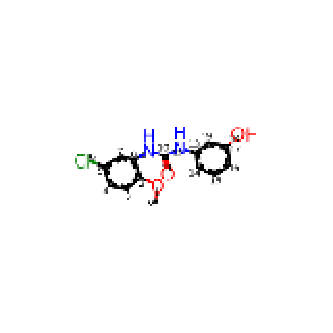 COc1ccc(Cl)cc1NC(=O)Nc1cccc(O)c1